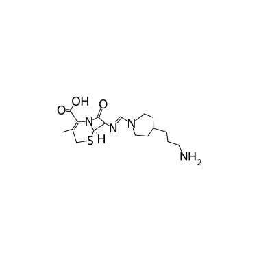 CC1=C(C(=O)O)N2C(=O)C(/N=C/N3CCC(CCCN)CC3)[C@H]2SC1